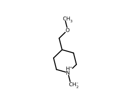 [CH2-][NH+]1CCC(COC)CC1